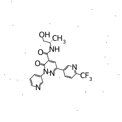 C[C@@H](CO)NC(=O)c1cc(-c2ccc(C(F)(F)F)nc2)nn(-c2cccnc2)c1=O